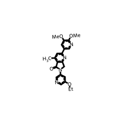 CCOc1cncc(N2Cc3nc(-c4cnc(OC)c(OC)c4)cc(C)c3C2=O)c1